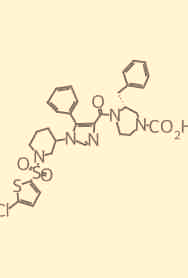 O=C(O)N1CCN(C(=O)c2ncn(C3CCCN(S(=O)(=O)c4ccc(Cl)s4)C3)c2-c2ccccc2)[C@H](Cc2ccccc2)C1